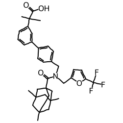 CC12CC3(C)CC(C)(C1)CC(C(=O)N(Cc1ccc(-c4cccc(C(C)(C)C(=O)O)c4)cc1)Cc1ccc(C(F)(F)F)o1)(C2)C3